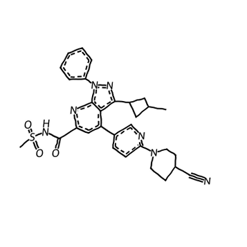 CC1CC(c2nn(-c3ccccc3)c3nc(C(=O)NS(C)(=O)=O)cc(-c4ccc(N5CCC(C#N)CC5)nc4)c23)C1